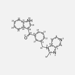 Cc1nc2cnccc2n1Cc1cccc(C(=O)c2c[nH]c3ccccc23)c1